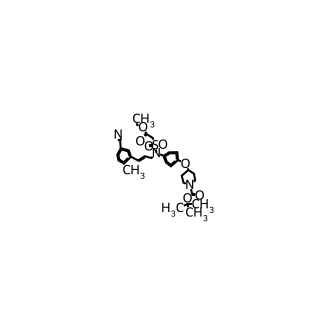 CCOC(=O)CS(=O)(=O)N(C/C=C/c1cc(C#N)ccc1C)c1ccc(OC2CCN(C(=O)OC(C)(C)C)CC2)cc1